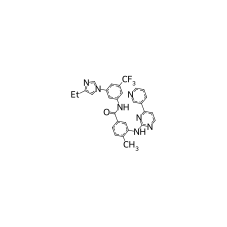 CCc1cn(-c2cc(NC(=O)c3ccc(C)c(Nc4nccc(-c5cccnc5)n4)c3)cc(C(F)(F)F)c2)cn1